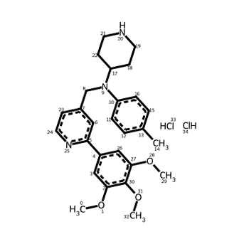 COc1cc(-c2cc(CN(c3ccc(C)cc3)C3CCNCC3)ccn2)cc(OC)c1OC.Cl.Cl